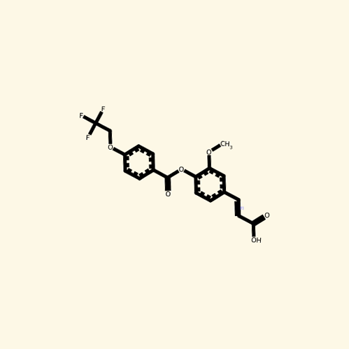 COc1cc(/C=C/C(=O)O)ccc1OC(=O)c1ccc(OCC(F)(F)F)cc1